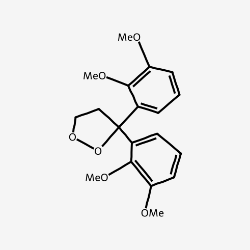 COc1cccc(C2(c3cccc(OC)c3OC)CCOO2)c1OC